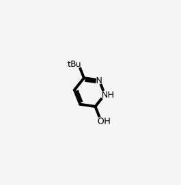 CC(C)(C)C1=NNC(O)C=C1